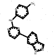 Cc1ccc(Nc2nccc(-c3ccc4cn[nH]c4c3)n2)nc1